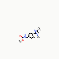 Cc1cc(CNC(=O)OC(C)(C)C)ccc1-c1nc(C(F)(F)F)cn1C(C)C